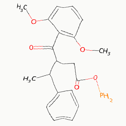 COc1cccc(OC)c1C(=O)C(CC(=O)OP)C(C)c1ccccc1